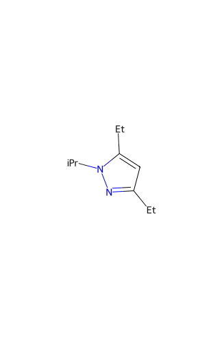 CCc1cc(CC)n(C(C)C)n1